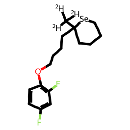 [2H]C([2H])([2H])C1(CCCCOc2ccc(F)cc2F)CCCC[Se]1